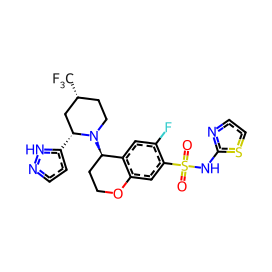 O=S(=O)(Nc1nccs1)c1cc2c(cc1F)[C@H](N1CC[C@@H](C(F)(F)F)C[C@H]1c1ccn[nH]1)CCO2